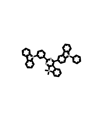 C[Si]1(C)c2ccccc2-c2c(-c3ccc4c(c3)c3ccccc3n4-c3ccccc3)nc(-c3cccc(-n4c5ccccc5c5ccccc54)c3)nc21